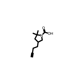 C#CCCC1CN(C(=O)O)C(C)(C)C1